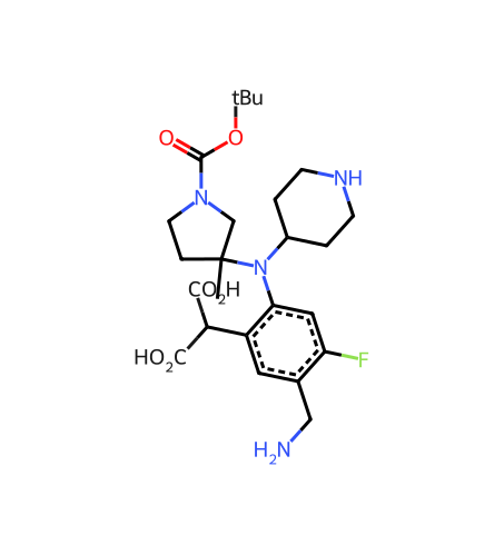 CC(C)(C)OC(=O)N1CCC(C)(N(c2cc(F)c(CN)cc2C(C(=O)O)C(=O)O)C2CCNCC2)C1